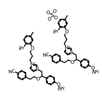 CCCOc1ccc(C(Cn2cc[n+](CCCOc3cc(C)ccc3C(C)C)c2)OCCc2ccc(C#N)cc2)cc1.CCCOc1ccc(C(Cn2cc[n+](CCCOc3cc(C)ccc3C(C)C)c2)OCCc2ccc(C#N)cc2)cc1.O=S(=O)([O-])[O-]